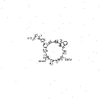 CNC(=O)C[C@@H]1NC(=O)c2csc(n2)-c2ccc(-c3nc(NC(=O)C4CC[C@H]4C(=O)O)cs3)nc2-c2csc(n2)-c2csc(n2)[C@H]([C@@H](O)c2ccccc2)NC(=O)CNC(=O)c2nc(sc2COC)NC(=O)c2nc1sc2C